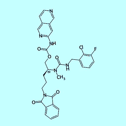 CN(C(=O)NCc1cccc(F)c1Cl)[C@@H](CCCN1C(=O)c2ccccc2C1=O)COC(=O)Nc1cc2cnccc2cn1